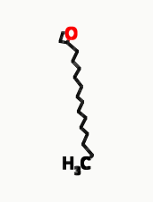 CCCCCCCCCCCCCCC1CCO1